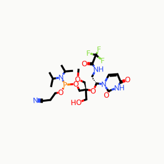 COC[C@@](CO)(COP(OCCC#N)N(C(C)C)C(C)C)O[C@H](CNC(=O)C(F)(F)F)n1ccc(=O)[nH]c1=O